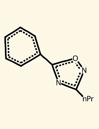 CCCc1noc(-c2ccccc2)n1